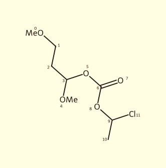 COCCC(OC)OC(=O)OC(C)Cl